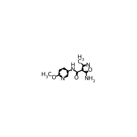 COc1ccc(NC(=O)c2c(C)noc2N)cn1